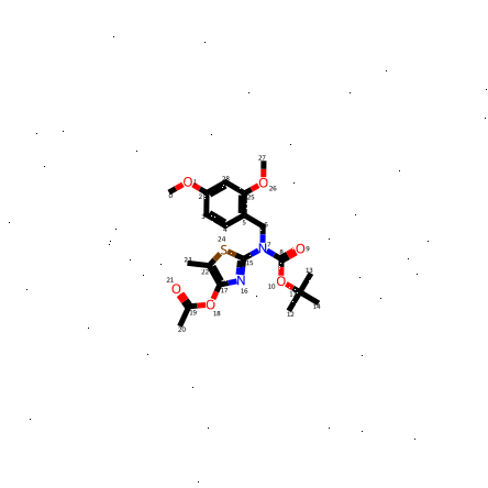 COc1ccc(CN(C(=O)OC(C)(C)C)c2nc(OC(C)=O)c(C)s2)c(OC)c1